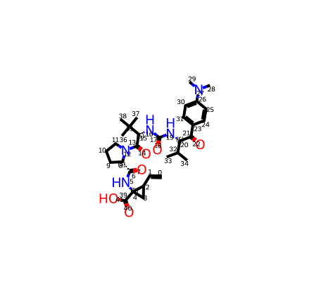 C=CC1C[C@]1(NC(=O)[C@@H]1CCCN1C(=O)[C@@H](NC(=O)N[C@H](C(=O)c1ccc(N(C)C)cc1)C(C)C)C(C)(C)C)C(=O)O